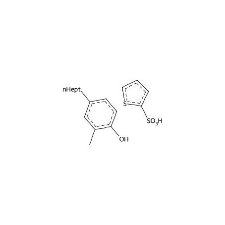 CCCCCCCc1ccc(O)c(C)c1.O=S(=O)(O)c1cccs1